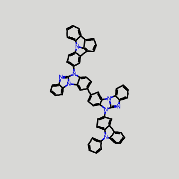 c1ccc(-n2c3ccccc3c3cc(-n4c5ccc(-c6ccc7c(c6)n6c8ccccc8nc6n7-c6ccc7c(c6)c6cccc8c9ccccc9n7c86)cc5n5c6ccccc6nc45)ccc32)cc1